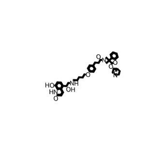 O=C(CCc1ccc(OCCCCCNCC(O)c2ccc(O)c3[nH]c(=O)ccc23)cc1)N1CC(C(=O)OC2CN3CCC2CC3)(c2ccccc2)C1